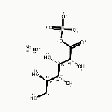 O=C(OP(=O)([O-])[O-])[C@H](O)[C@@H](O)[C@H](O)[C@H](O)CO.[Na+].[Na+]